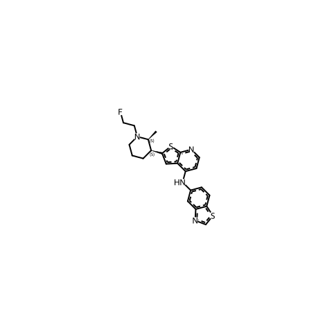 C[C@H]1[C@@H](c2cc3c(Nc4ccc5scnc5c4)ccnc3s2)CCCN1CCF